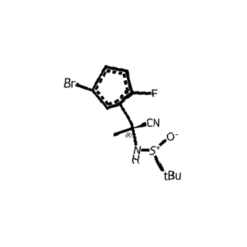 CC(C)(C)[S+]([O-])N[C@@](C)(C#N)c1cc(Br)ccc1F